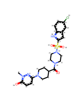 Cn1nc(N2CCC(C(=O)N3CCN(S(=O)(=O)c4cc5cc(Cl)ccc5[nH]4)CC3)CC2)ccc1=O